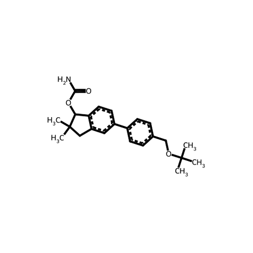 CC(C)(C)OCc1ccc(-c2ccc3c(c2)CC(C)(C)C3OC(N)=O)cc1